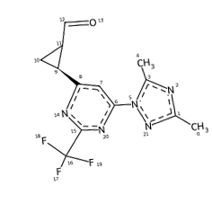 Cc1nc(C)n(-c2cc([C@H]3CC3C=O)nc(C(F)(F)F)n2)n1